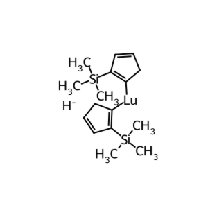 C[Si](C)(C)C1=[C]([Lu][C]2=C([Si](C)(C)C)C=CC2)CC=C1.[H-]